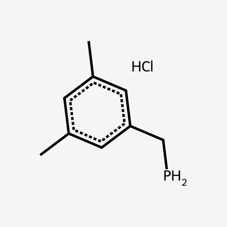 Cc1cc(C)cc(CP)c1.Cl